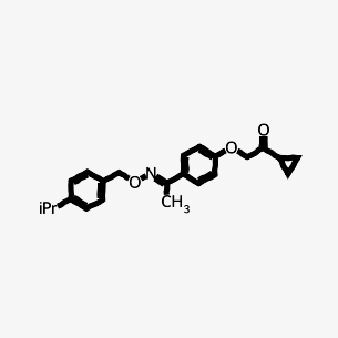 C/C(=N\OCc1ccc(C(C)C)cc1)c1ccc(OCC(=O)C2CC2)cc1